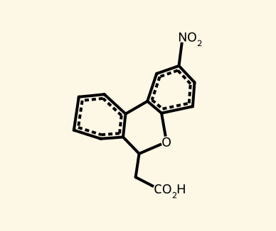 O=C(O)CC1Oc2ccc([N+](=O)[O-])cc2-c2ccccc21